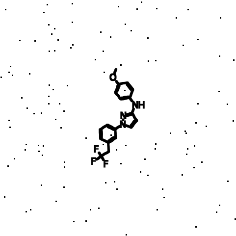 COc1ccc(Nc2ccn(-c3cccc(CC(F)(F)F)c3)n2)cc1